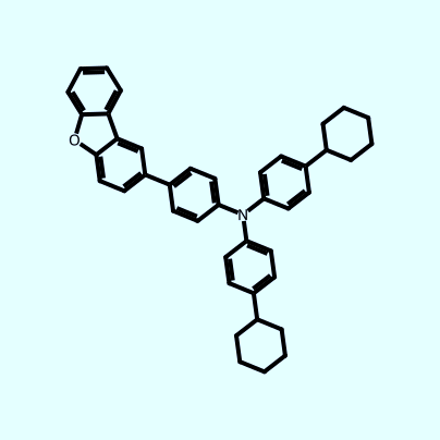 c1ccc2c(c1)oc1ccc(-c3ccc(N(c4ccc(C5CCCCC5)cc4)c4ccc(C5CCCCC5)cc4)cc3)cc12